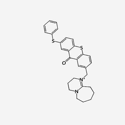 O=c1c2cc(C[N+]3=C4CCCCCN4CCC3)ccc2sc2ccc(Sc3ccccc3)cc12